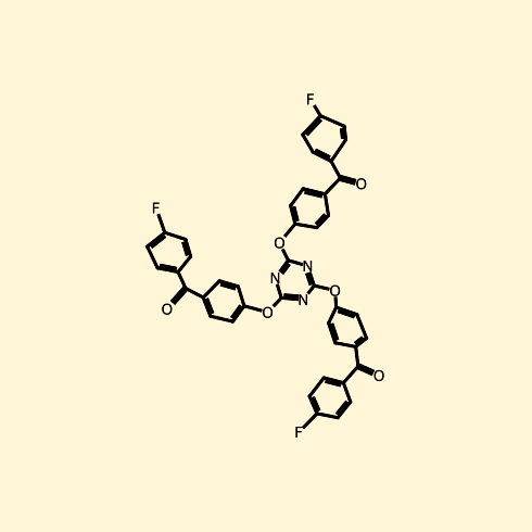 O=C(c1ccc(F)cc1)c1ccc(Oc2nc(Oc3ccc(C(=O)c4ccc(F)cc4)cc3)nc(Oc3ccc(C(=O)c4ccc(F)cc4)cc3)n2)cc1